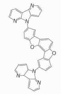 C1=CC2C(N=C1)c1cccnc1N2c1ccc2oc3ccc4c5cc(-n6c7cccnc7c7cccnc76)ccc5oc4c3c2c1